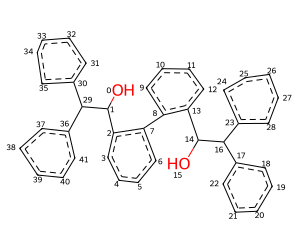 OC(c1ccccc1-c1ccccc1C(O)C(c1ccccc1)c1ccccc1)C(c1ccccc1)c1ccccc1